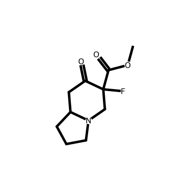 COC(=O)C1(F)CN2CCCC2CC1=O